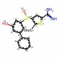 CSc1sc(C(=N)N)cc1[S+]([O-])c1cc(O)cc(-c2ccccc2)c1